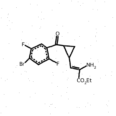 CCOC(=O)C(N)=CC1CC1C(=O)c1cc(F)c(Br)cc1F